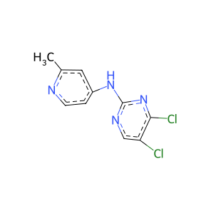 Cc1cc(Nc2ncc(Cl)c(Cl)n2)ccn1